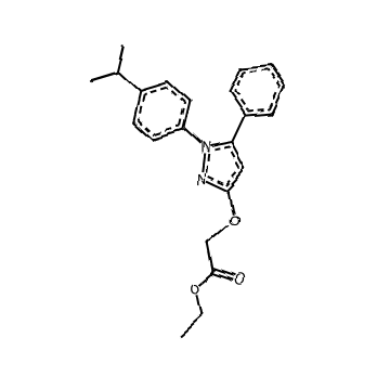 CCOC(=O)COc1cc(-c2ccccc2)n(-c2ccc(C(C)C)cc2)n1